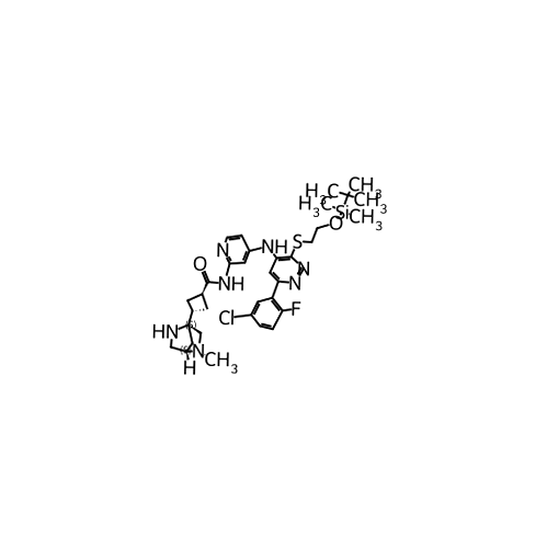 CN1C[C@@]2([C@H]3C[C@H](C(=O)Nc4cc(Nc5cc(-c6cc(Cl)ccc6F)nnc5SCCO[Si](C)(C)C(C)(C)C)ccn4)C3)C[C@H]1CN2